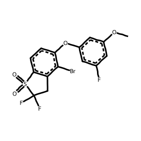 COc1cc(F)cc(Oc2ccc3c(c2Br)CC(F)(F)S3(=O)=O)c1